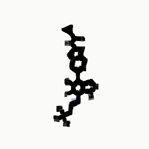 CCS(CC)(CC)C/C=C/c1c(F)c(Cl)c(-c2cn3cc(NC(=O)C4CC4)nc3cn2)c2cn[nH]c12